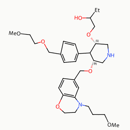 CCC(O)CO[C@@H]1CNC[C@H](OCc2ccc3c(c2)N(CCCOC)CCO3)C1c1ccc(COCCOC)cc1